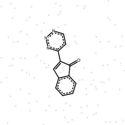 O=C1C(c2ccnnn2)=Cc2ccccc21